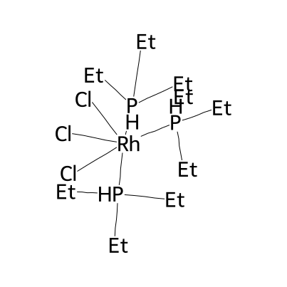 CC[PH](CC)(CC)[Rh]([Cl])([Cl])([Cl])([PH](CC)(CC)CC)[PH](CC)(CC)CC